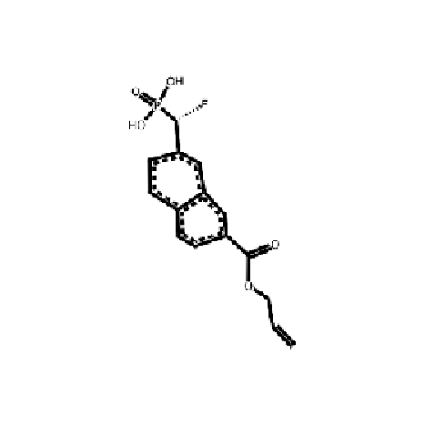 C=CCOC(=O)c1ccc2ccc([C@@H](F)P(=O)(O)O)cc2c1